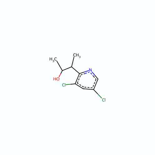 CC(O)C(C)c1ncc(Cl)cc1Cl